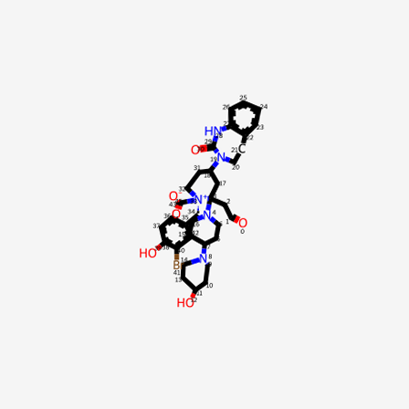 O=CCC1(N2CCC(N3CCC(O)CC3)CC2)CC(N2CCc3ccccc3NC2=O)CC[N@+]1(Cc1ccc(O)c(Br)c1)C(=O)[O-]